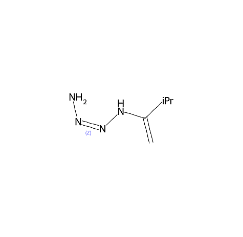 C=C(N/N=N\N)C(C)C